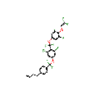 C=CCCc1ccc(C(F)(F)Oc2cc(F)c(C(F)(F)Oc3cc(F)c(OC=C(F)F)c(F)c3)c(F)c2)cc1